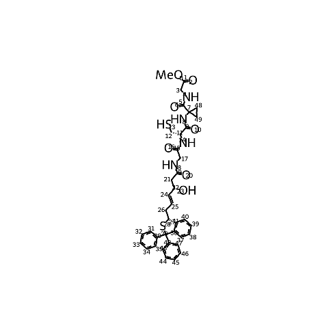 COC(=O)CNC(=O)C1(NC(=O)[C@@H](CS)NC(=O)CNC(=O)C[C@H](O)/C=C/CCSC(c2ccccc2)(c2ccccc2)c2ccccc2)CC1